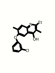 CCc1nc2cc(C)c(Oc3cccc(Cl)c3)cc2c(O)c1C